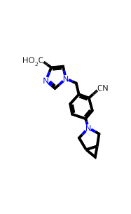 N#Cc1cc(N2CC3CC3C2)ccc1Cn1cnc(C(=O)O)c1